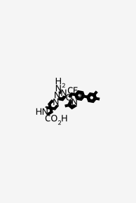 Cc1ccn(-c2cc(-c3ccc(C)c(C)c3)ccc2[C@H](Oc2cc(N3CCC4(CC3)CN[C@H](C(=O)O)C4)nc(N)n2)C(F)(F)F)c1